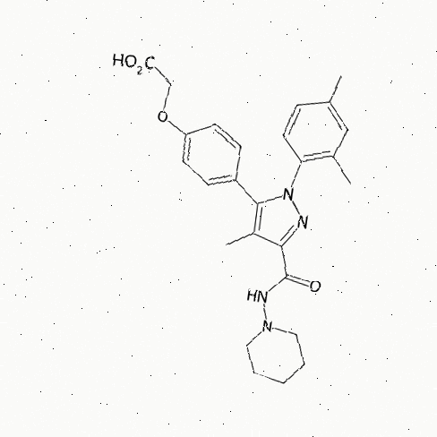 Cc1ccc(-n2nc(C(=O)NN3CCCCC3)c(C)c2-c2ccc(OCC(=O)O)cc2)c(C)c1